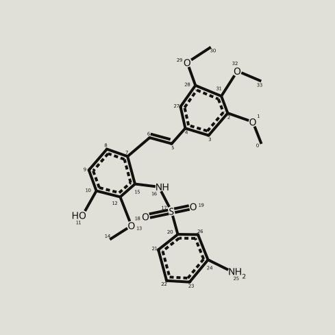 COc1cc(C=Cc2ccc(O)c(OC)c2NS(=O)(=O)c2cccc(N)c2)cc(OC)c1OC